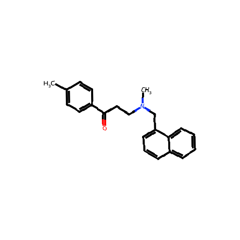 Cc1ccc(C(=O)CCN(C)Cc2cccc3ccccc23)cc1